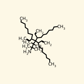 C=CC(CCCCCCC)C(C(C=C)CCCCCCC)(C(C=C)CCCCCCC)C(C)(C)C(C)(C)N